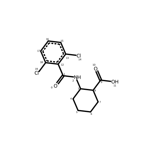 O=C(NC1CCCCC1C(=O)O)c1c(Cl)cccc1Cl